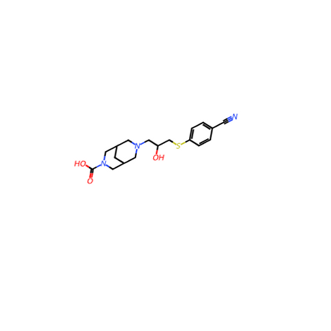 N#Cc1ccc(SCC(O)CN2CC3CC(C2)CN(C(=O)O)C3)cc1